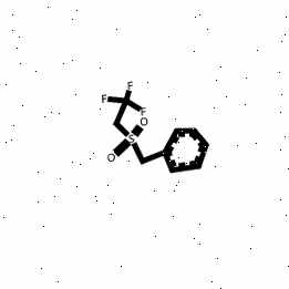 O=S(=O)([CH]C(F)(F)F)Cc1ccccc1